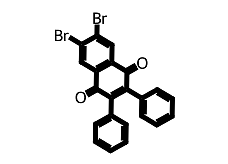 O=C1C(c2ccccc2)=C(c2ccccc2)C(=O)c2cc(Br)c(Br)cc21